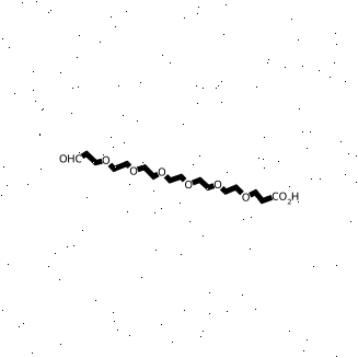 O=CCCOCCOCCOCCOCCOCCOCCC(=O)O